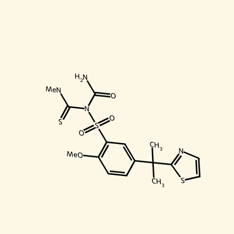 CNC(=S)N(C(N)=O)S(=O)(=O)c1cc(C(C)(C)c2nccs2)ccc1OC